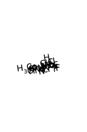 CC(=O)N1CCC[C@@H](Nc2ncc3nc(Nc4c(Cl)cc(C(F)(F)F)cc4Cl)n(C)c3n2)C1